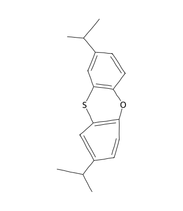 CC(C)c1ccc2c(c1)Sc1cc(C(C)C)ccc1O2